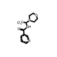 O=C(NC(N1CCOCC1)C(Cl)(Cl)Cl)c1cccnc1